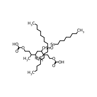 CCCCCCC[CH2][Sn][O][Sn]([CH2]CCCCCCC)([CH2]CCCCCCC)[O]C(CC(C)C(C)CCOC(=O)O)C(C)CCOC(=O)O